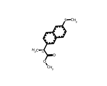 COC(=O)[C@@H](C)c1ccc2cc(SC)ccc2c1